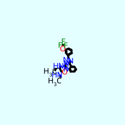 CCNC(=O)[C@@H](CC)Nc1nc2ccccc2c2nc(-c3cccc(OC(F)(F)F)c3)nn12